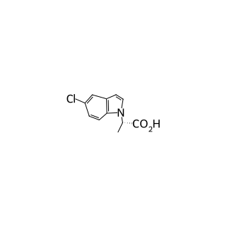 C[C@@H](C(=O)O)n1ccc2cc(Cl)ccc21